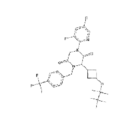 CC(C)(C)[Si](C)(C)OC1CC(C2C(=O)N(c3ncc(Cl)cc3F)CC(=O)N2Cc2ccc(C(F)(F)F)cc2)C1